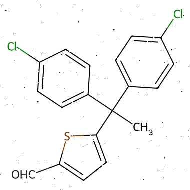 CC(c1ccc(Cl)cc1)(c1ccc(Cl)cc1)c1ccc(C=O)s1